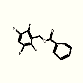 O=C(OCc1c(F)c(F)cc(F)c1F)c1ccccc1